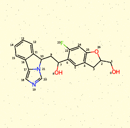 OCC1Cc2cc(C(O)CC3c4ccccc4-c4cncn43)c(F)cc2O1